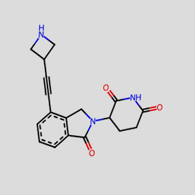 O=C1CCC(N2Cc3c(C#CC4CNC4)cccc3C2=O)C(=O)N1